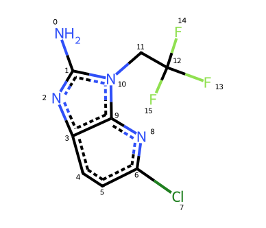 Nc1nc2ccc(Cl)nc2n1CC(F)(F)F